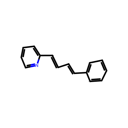 [C](=CC=Cc1[c]cccc1)c1ccccn1